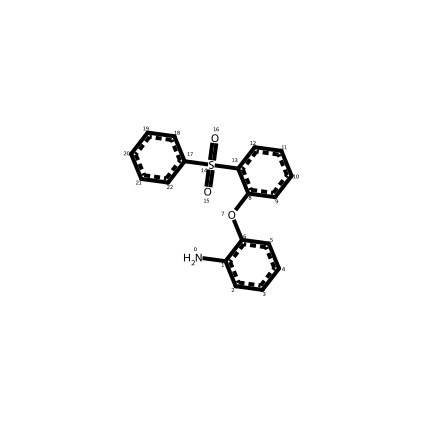 Nc1ccccc1Oc1ccccc1S(=O)(=O)c1ccccc1